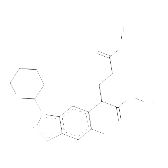 COC(=O)CCC(C(=O)OC)c1cc2c(cnn2C2CCCCO2)cc1C